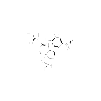 O=C(O)NC1=N[C@@]2(c3cc([N+](=O)[O-])cc(F)c3F)CO[C@H](C(F)(F)F)[C@H]2CS1